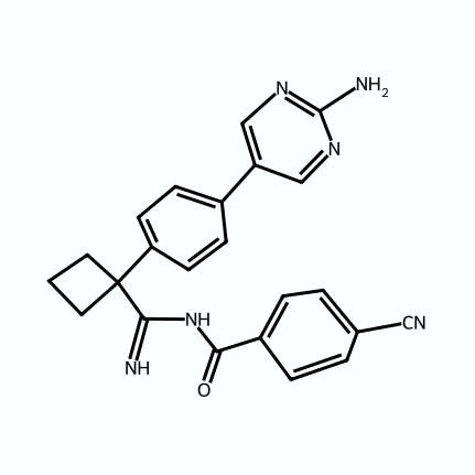 N#Cc1ccc(C(=O)NC(=N)C2(c3ccc(-c4cnc(N)nc4)cc3)CCC2)cc1